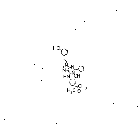 C[C@H]1C=C(P(C)(C)=O)C=CC1Nc1nc(C2CCCC2)nc2c1ncn2CCc1cccc(O)c1